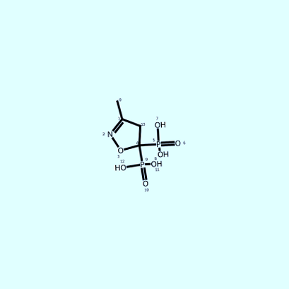 CC1=NOC(P(=O)(O)O)(P(=O)(O)O)C1